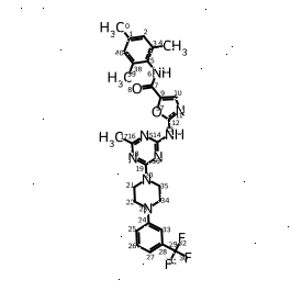 Cc1cc(C)c(NC(=O)c2cnc(Nc3nc(C)nc(N4CCN(c5cccc(C(F)(F)F)c5)CC4)n3)o2)c(C)c1